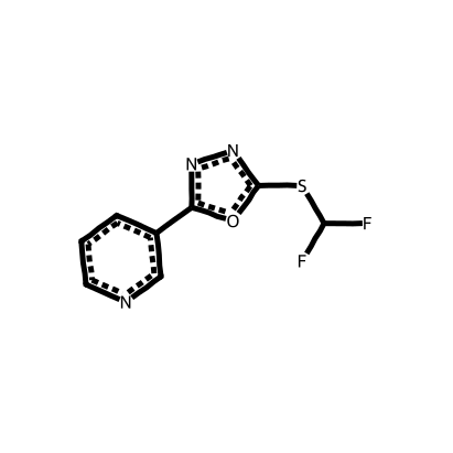 FC(F)Sc1nnc(-c2cccnc2)o1